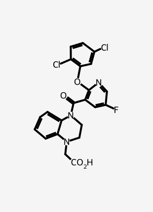 O=C(O)CN1CCN(C(=O)c2cc(F)cnc2Oc2cc(Cl)ccc2Cl)c2ccccc21